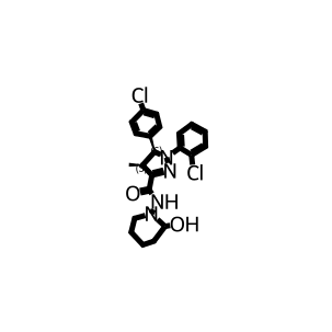 C[C@@H]1C(C(=O)NN2CCCCC2O)=NN(c2ccccc2Cl)[C@@H]1c1ccc(Cl)cc1